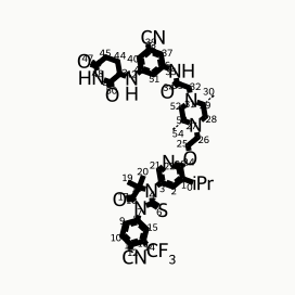 CC(C)c1cc(N2C(=S)N(c3ccc(C#N)c(C(F)(F)F)c3)C(=O)C2(C)C)cnc1OCCN1C[C@@H](C)N(CC(=O)Nc2cc(C#N)cc(NC3CCC(=O)NC3=O)c2)C[C@H]1C